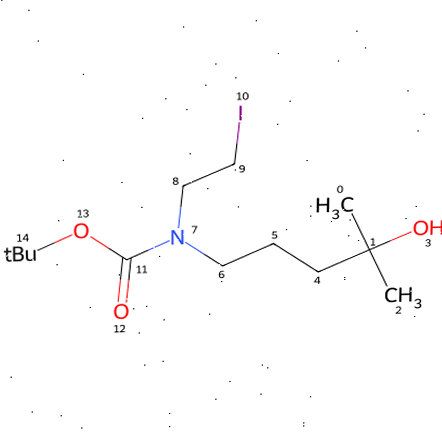 CC(C)(O)CCCN(CCI)C(=O)OC(C)(C)C